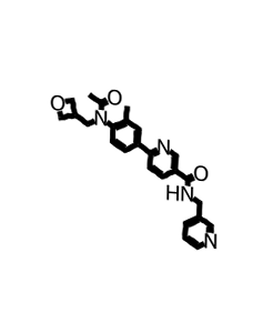 CC(=O)N(CC1COC1)c1ccc(-c2ccc(C(=O)NCc3cccnc3)cn2)cc1C